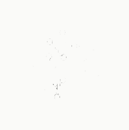 O=C(OCc1ccccc1)S(=O)(=O)OCc1ccccc1[N+](=O)[O-]